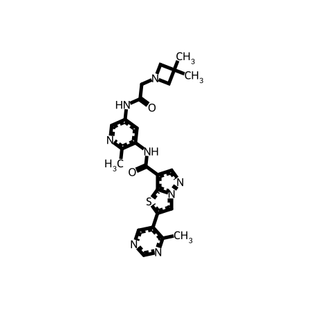 Cc1ncc(NC(=O)CN2CC(C)(C)C2)cc1NC(=O)c1cnn2cc(-c3cncnc3C)sc12